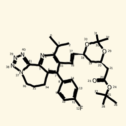 CC(C)c1nc2c(c(-c3ccc(F)cc3)c1/C=C/[C@@H]1C[C@H](CC(=O)OC(C)(C)C)OC(C)(C)O1)CCCn1nnnc1-2